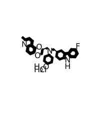 Cc1ccc2c3c(ccc2n1)OC[C@H](CN(C[C@@H]1CCc2[nH]c4ccc(F)cc4c2C1)C1CCCCC1)O3.Cl.O